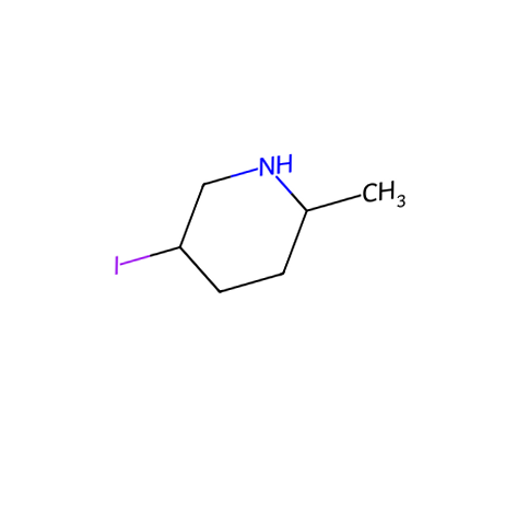 CC1CCC(I)CN1